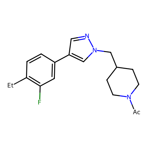 CCc1ccc(-c2cnn(CC3CCN(C(C)=O)CC3)c2)cc1F